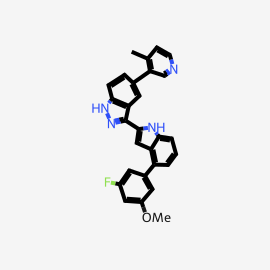 COc1cc(F)cc(-c2cccc3[nH]c(-c4n[nH]c5ccc(-c6cnccc6C)cc45)cc23)c1